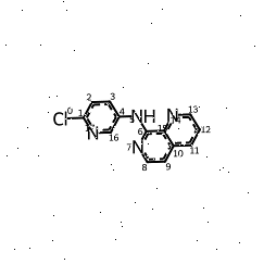 Clc1ccc(Nc2nccc3cccnc23)cn1